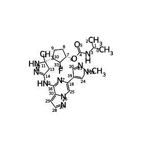 CC(C)NC(=O)O[C@H]1CC[C@@H](C2(C)CC(Nc3nc(-c4cnn(C)c4)cn4nccc34)=NN2)[C@@H]1F